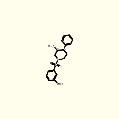 COc1cccc(S(=O)(=O)N2CC[C@H](c3ccccc3)[C@H](C(=O)O)C2)c1